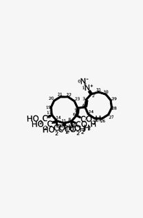 [N-]=[N+]=C1C=C(C2=C(C(=O)O)C(C(=O)O)(C(=O)O)C(C(=O)O)(C(=O)O)C(C(=O)O)(C(=O)O)C(C(=O)O)CCCCC2)CCCCCCCC1